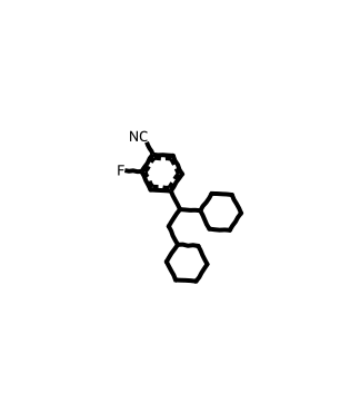 N#Cc1ccc(C(CC2CCCCC2)C2CCCCC2)cc1F